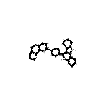 c1cnc2c(c1)ccc1ccc(-c3ccc(-c4nc5ccccc5c5oc6ccccc6c45)cc3)nc12